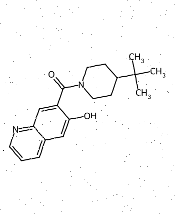 CC(C)(C)C1CCN(C(=O)c2cc3ncccc3cc2O)CC1